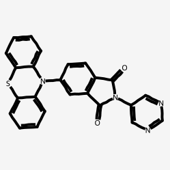 O=C1c2ccc(N3c4ccccc4Sc4ccccc43)cc2C(=O)N1c1cncnc1